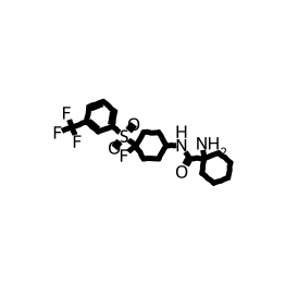 NC1(C(=O)NC2CCC(F)(S(=O)(=O)c3cccc(C(F)(F)F)c3)CC2)CCCCC1